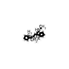 C=CNCCC(CC)(CCNC(=C)C1=C(C)CCCC1)c1ccccc1C